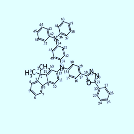 CC1(C)c2ccccc2-c2ccc(N(c3ccc(-c4nnc(-c5ccccc5)o4)cc3)c3ccc(N(c4ccccc4)c4ccccc4)cc3)cc21